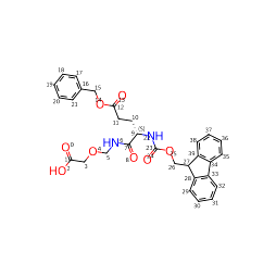 O=C(O)COCNC(=O)[C@H](CCC(=O)OCc1ccccc1)NC(=O)OCC1c2ccccc2-c2ccccc21